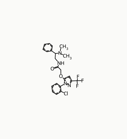 CN(C)C(CNC(=O)COc1cc(C(F)(F)F)nn1-c1ccccc1Cl)c1ccccc1